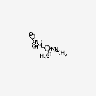 COc1cc(/C=C2\CCCN3C2=NOC[C@H]3C2CCOCC2)ccc1-n1cnc(C)c1